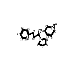 CN1CC=C([C@@H]2CCCN2C(=O)CCc2ccccn2)CC1